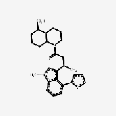 CC(CC(=O)N1CCCC2C(C(=O)O)CCCC21)c1cn(C)c2cccc(-c3ccco3)c12